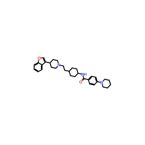 O=C(NC1CCC(CCN2CCC(c3coc4ccccc34)CC2)CC1)c1ccc(N2CCCCC2)cc1